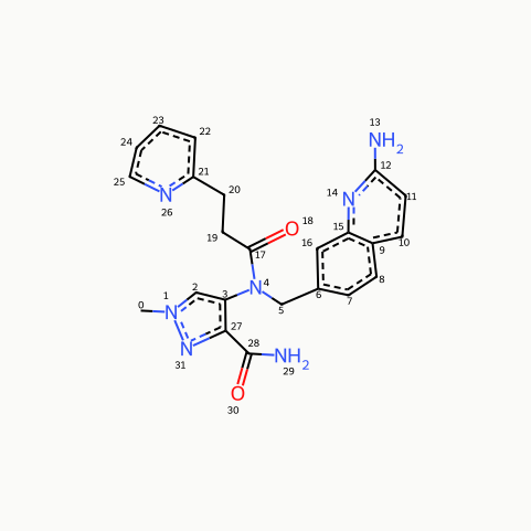 Cn1cc(N(Cc2ccc3ccc(N)nc3c2)C(=O)CCc2ccccn2)c(C(N)=O)n1